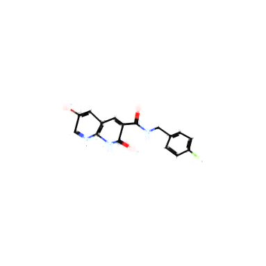 O=C(NCc1ccc(F)cc1)c1cc2cc(Br)cnc2[nH]c1=O